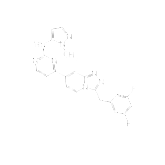 Cn1nccc1Nc1nccc(-c2ccn3c(Cc4cc(F)cc(F)c4)nnc3c2)n1